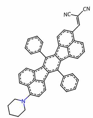 N#CC(C#N)=Cc1ccc2c3c(-c4ccccc4)c4c5cccc6c(N7CCCCC7)ccc(c4c(-c4ccccc4)c3c3cccc1c23)c65